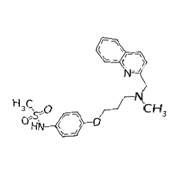 CN(CCCOc1ccc(NS(C)(=O)=O)cc1)Cc1ccc2ccccc2n1